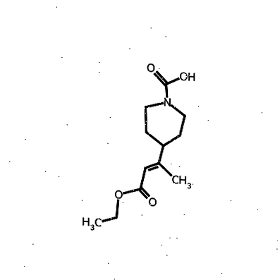 CCOC(=O)/C=C(\C)C1CCN(C(=O)O)CC1